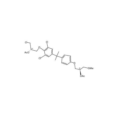 COC[C@H](COc1ccc(C(C)(C)c2cc(Cl)c(OC[C@@H](CCl)OC(C)=O)c(Cl)c2)cc1)OC(C)=O